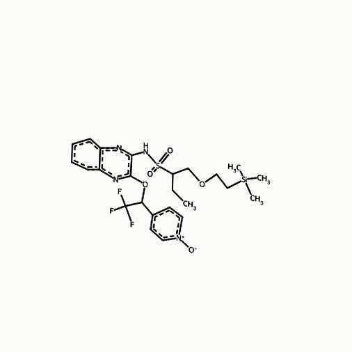 CCC(COCC[Si](C)(C)C)S(=O)(=O)Nc1nc2ccccc2nc1OC(c1cc[n+]([O-])cc1)C(F)(F)F